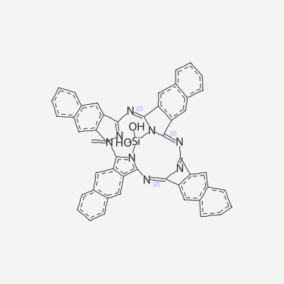 C=Nc1c2cc3ccccc3cc2c2n1[Si](O)(O)N1/C(=N\C3=NCc4cc5ccccc5cc43)c3cc4ccccc4cc3/C1=N/C1=NC(=N\2)/c2cc3ccccc3cc21